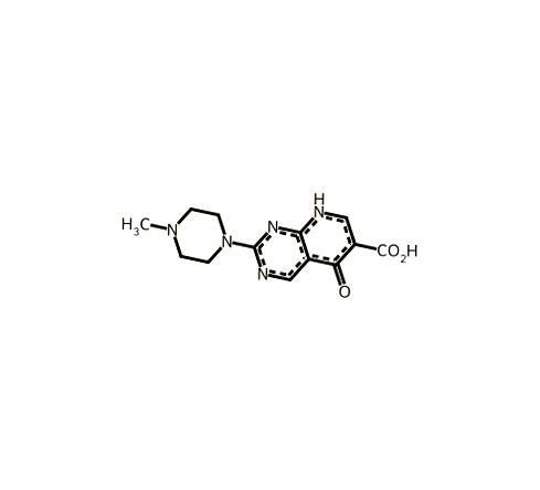 CN1CCN(c2ncc3c(=O)c(C(=O)O)c[nH]c3n2)CC1